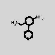 NCc1ccc(N)cc1-c1ccccc1